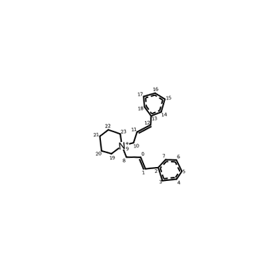 C(=Cc1ccccc1)C[N+]1(CC=Cc2ccccc2)CCCCC1